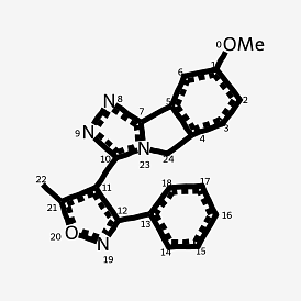 COc1ccc2c(c1)-c1nnc(-c3c(-c4ccccc4)noc3C)n1C2